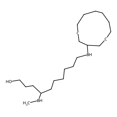 CBC(CCCO)CCCCCCBC1CCCCCCCCCC1